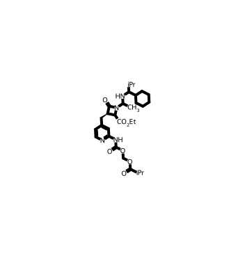 CCOC(=O)C1[C@@H](Cc2ccnc(NC(=O)OCOC(=O)C(C)C)c2)C(=O)N1C(C)NC(C(C)C)C1CCCCC1